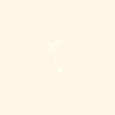 CC(F)(F)SSC(C)(F)F